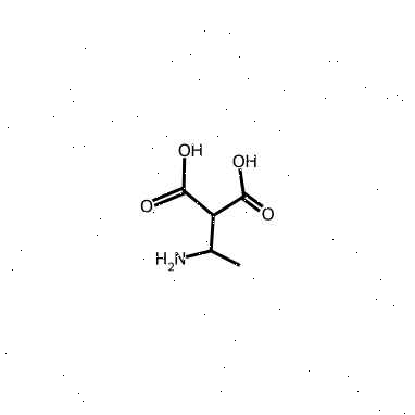 CC(N)C(C(=O)O)C(=O)O